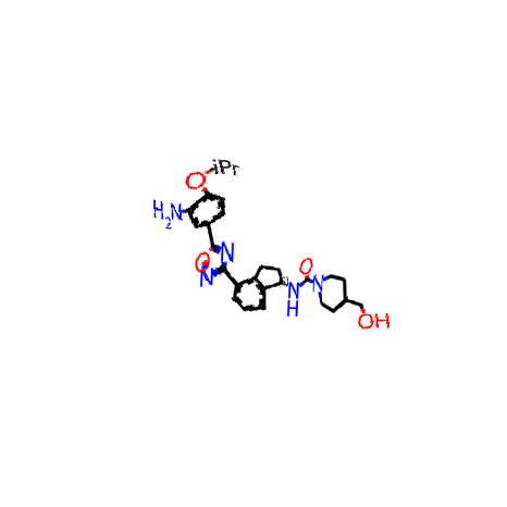 CC(C)Oc1ccc(-c2nc(-c3cccc4c3CC[C@@H]4NC(=O)N3CCC(CO)CC3)no2)cc1N